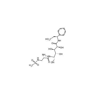 CS(=O)(=O)NC[C@H](N)C(=O)N[C@@H](CO)[C@@H](O)[C@@H](O)[C@H](O)C(=O)N[C@@H](CC(=O)O)c1ccccc1